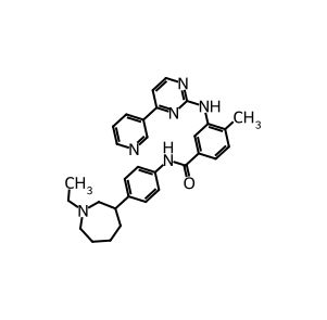 CCN1CCCCC(c2ccc(NC(=O)c3ccc(C)c(Nc4nccc(-c5cccnc5)n4)c3)cc2)C1